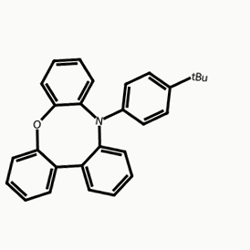 CC(C)(C)c1ccc(-n2c3ccccc3oc3ccccc3c3ccccc32)cc1